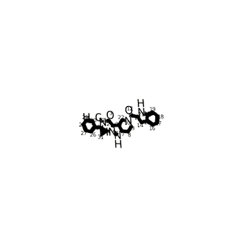 CN(C(=O)C1NNC2CCN(C(=O)C3Cc4ccccc4N3)CC21)C1(c2ccccc2)CC1